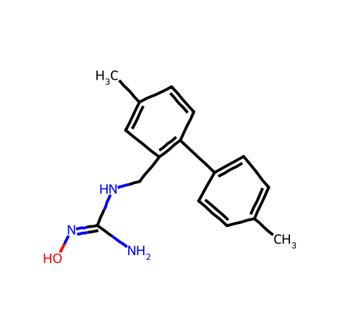 Cc1ccc(-c2ccc(C)cc2CN/C(N)=N/O)cc1